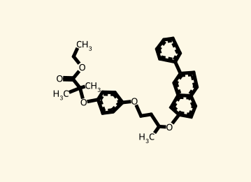 CCOC(=O)C(C)(C)Oc1ccc(OCCC(C)Oc2ccc3ccc(-c4ccccc4)cc3c2)cc1